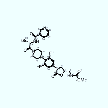 COC(=O)NC[C@H]1CN(c2cc(F)c(N3CCN(C(=O)[C@@H](NC(=O)c4cccnc4)C(C)(C)C)CC3)c(F)c2)C(=O)O1